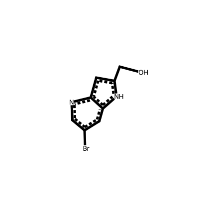 OCc1cc2ncc(Br)cc2[nH]1